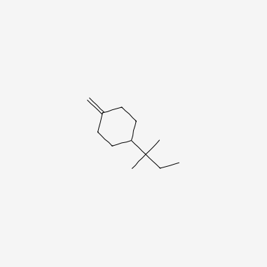 C=C1CCC(C(C)(C)CC)CC1